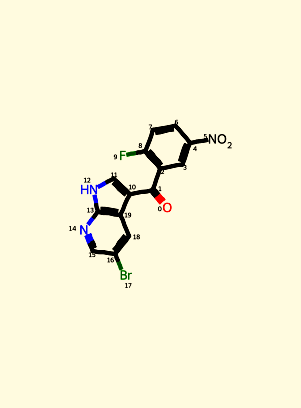 O=C(c1cc([N+](=O)[O-])ccc1F)c1c[nH]c2ncc(Br)cc12